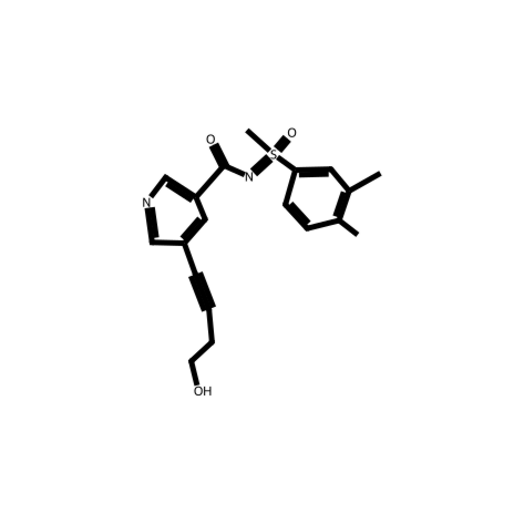 Cc1ccc(S(C)(=O)=NC(=O)c2cncc(C#CCCO)c2)cc1C